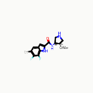 CCc1cc2cc(C(=O)N[C@H]3CNC[C@@H]3OC)[nH]c2c(F)c1F